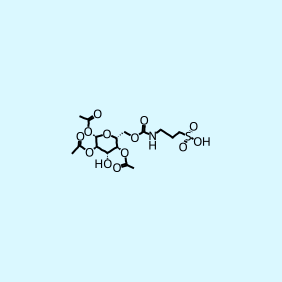 CC(=O)O[C@@H]1O[C@H](COC(=O)NCCCS(=O)(=O)O)[C@@H](OC(C)=O)[C@H](O)[C@H]1OC(C)=O